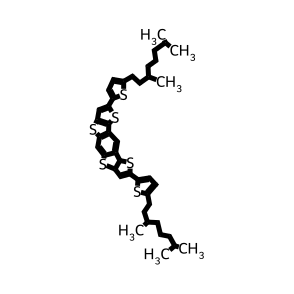 CC(C)CCCC(C)CCc1ccc(C2=CC3Sc4cc5sc6cc(-c7ccc(CCC(C)CCCC(C)C)s7)sc6c5cc4C3S2)s1